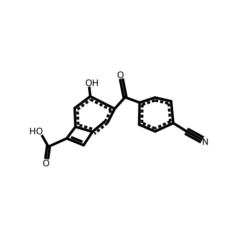 N#Cc1ccc(C(=O)c2cc3c(cc2O)C(C(=O)O)=C3)cc1